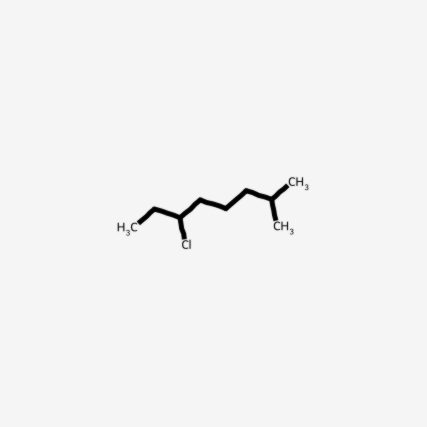 CCC(Cl)CCCC(C)C